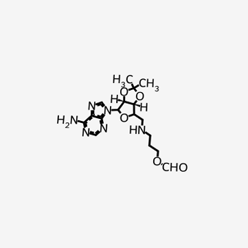 CC1(C)O[C@@H]2C(CNCCCOC=O)OC(n3cnc4c(N)ncnc43)[C@@H]2O1